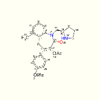 COc1ccc([C@@H]2Cc3c(cccc3C(F)(F)F)N(C[C@H]3CCCN3)C(=O)[C@@H]2OC(C)=O)cc1